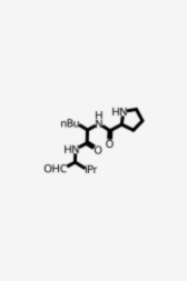 CCCCC(NC(=O)C1CCCN1)C(=O)NC(C=O)C(C)C